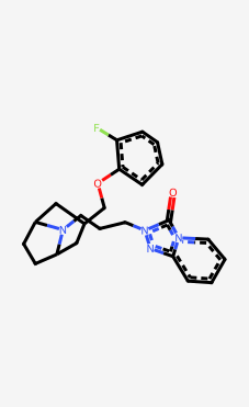 O=c1n(CCCN2C3CCC2CC(COc2ccccc2F)C3)nc2ccccn12